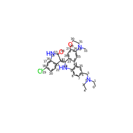 CCN(CC)Cc1ccc(NC(=C2C(=O)Nc3cc(Cl)ccc32)c2ccc3c(c2)OCCN3C)cc1